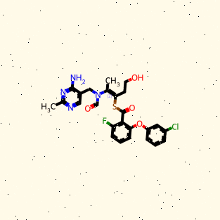 C/C(=C(\CCO)SC(=O)c1c(F)cccc1Oc1cccc(Cl)c1)N(C=O)Cc1cnc(C)nc1N